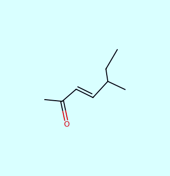 CCC(C)/C=C/C(C)=O